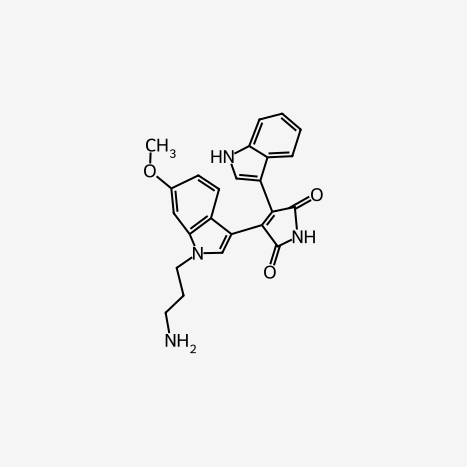 COc1ccc2c(C3=C(c4c[nH]c5ccccc45)C(=O)NC3=O)cn(CCCN)c2c1